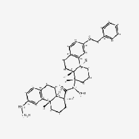 C[C@]1(N(C=O)C(=O)[C@@]2(C)CCC[C@]3(C)c4cc(NC(=O)O)ccc4CC[C@@H]23)CCC[C@]2(C)c3cc(OCc4ccccc4)ccc3CC[C@@H]12